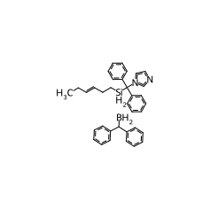 BC(c1ccccc1)c1ccccc1.CCC=CCC[SiH2]C(c1ccccc1)(c1ccccc1)n1ccnc1